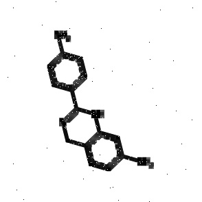 Nc1ccc(C2=NCc3ccc(N)cc3N2)cc1